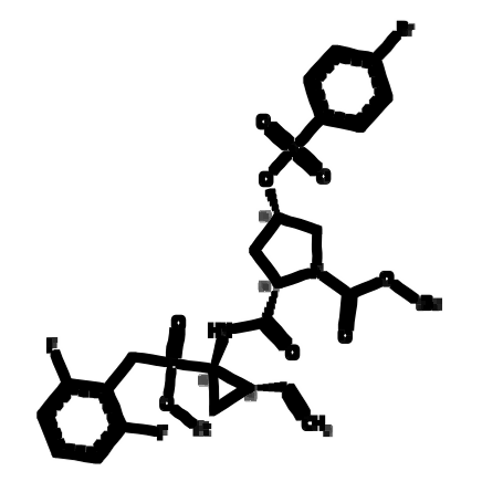 C=C[C@@H]1C[C@]1(NC(=O)[C@@H]1C[C@H](OS(=O)(=O)c2ccc(Br)cc2)CN1C(=O)OC(C)(C)C)P(=O)(Cc1c(F)cccc1F)OCC